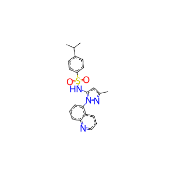 Cc1cc(NS(=O)(=O)c2ccc(C(C)C)cc2)n(-c2cccc3ncccc23)n1